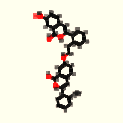 CCCc1ccccc1-c1cc2ccc(OCCc3ccccc3-c3cc4ccc(O)cc4c(=O)o3)cc2c(=O)o1